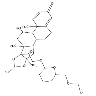 CCCC1OC2(N)CC3C4CCC5=CC(=O)C=CC5(C)C4C(O)CC3(C)C2(C(=O)COC2CCCC(COCC(C)=O)O2)O1